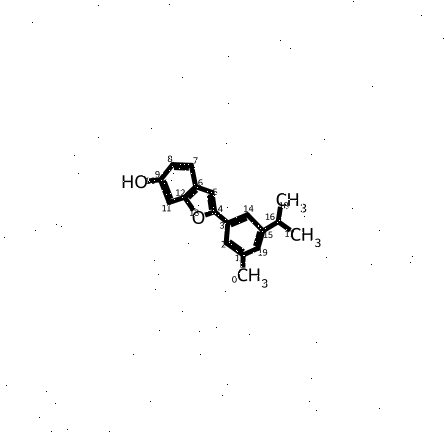 Cc1cc(-c2cc3ccc(O)cc3o2)cc(C(C)C)c1